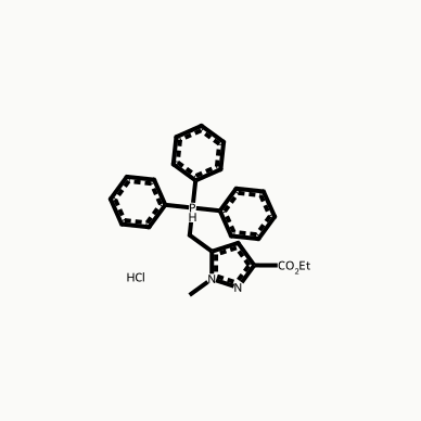 CCOC(=O)c1cc(C[PH](c2ccccc2)(c2ccccc2)c2ccccc2)n(C)n1.Cl